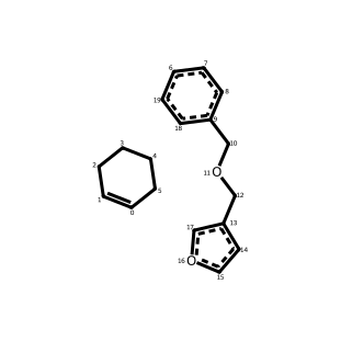 C1=CCCCC1.c1ccc(COCc2ccoc2)cc1